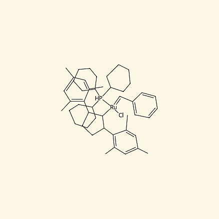 Cc1cc(C)c(C2CCC(c3c(C)cc(C)cc3C)[CH]2[Ru]([Cl])(=[CH]c2ccccc2)[PH](C2CCCCC2)(C2CCCCC2)C2CCCCC2)c(C)c1